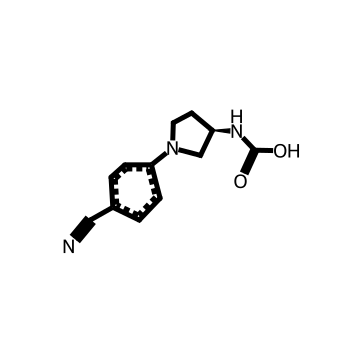 N#Cc1ccc(N2CC[C@@H](NC(=O)O)C2)cc1